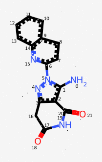 Nc1c2c(nn1-c1ccc3ccccc3n1)CC(=O)NC2=O